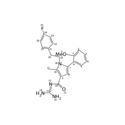 COc1ccccc1-c1cc(C(=O)N=C(N)N)c(C)n1CCc1ccc(F)cc1